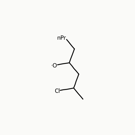 CCCCC([O])CC(C)Cl